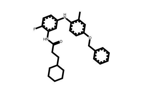 Cc1cc(OCc2ccccc2)ccc1Nc1ccc(F)c(NC(=O)CCC2CCCCC2)c1